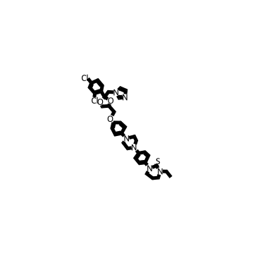 CCN1CCCN(c2ccc(N3CCN(c4ccc(OCC5COC(Cn6ccnc6)(c6ccc(Cl)cc6Cl)O5)cc4)CC3)cc2)C1=S